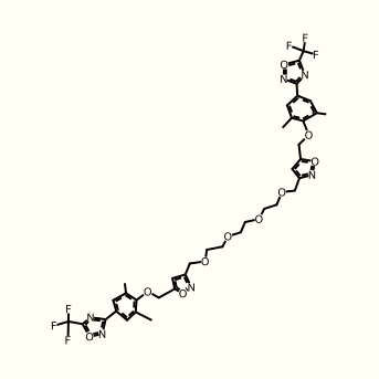 Cc1cc(-c2noc(C(F)(F)F)n2)cc(C)c1OCc1cc(COCCOCCOCCOCc2cc(COc3c(C)cc(-c4noc(C(F)(F)F)n4)cc3C)on2)no1